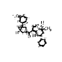 CC1(C)C[C@H](c2ccccc2)Nc2c(C(=O)N3C[C@@H]4CC4(c4cccc(C(F)(F)F)c4)C3)cnn21